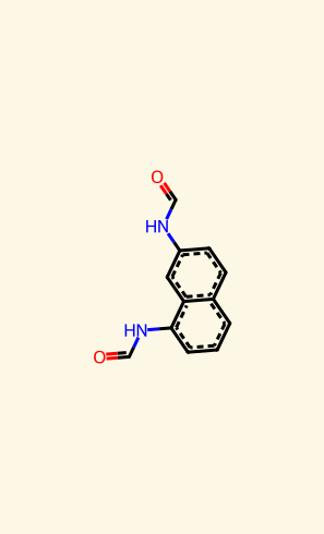 O=CNc1ccc2cccc(NC=O)c2c1